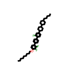 CCCCCCCCCOc1ccc(-c2ccc(-c3ccc(C4CCC(C5CCC(CCCCC)CC5)CC4)cc3F)cc2)c(F)c1F